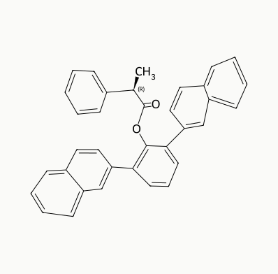 C[C@@H](C(=O)Oc1c(-c2ccc3ccccc3c2)cccc1-c1ccc2ccccc2c1)c1ccccc1